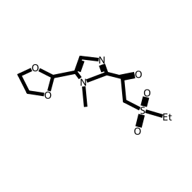 CCS(=O)(=O)CC(=O)c1ncc(C2OCCO2)n1C